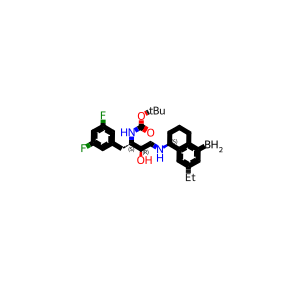 Bc1cc(CC)cc2c1CCC[C@@H]2NC[C@@H](O)[C@H](Cc1cc(F)cc(F)c1)NC(=O)OC(C)(C)C